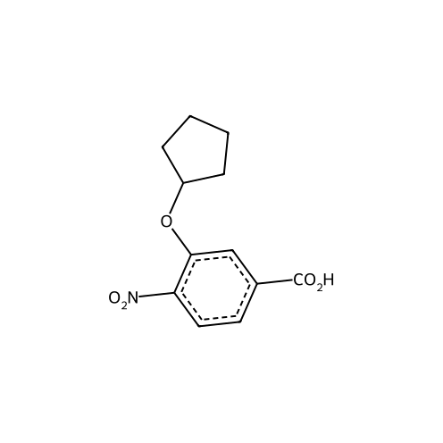 O=C(O)c1ccc([N+](=O)[O-])c(OC2CCCC2)c1